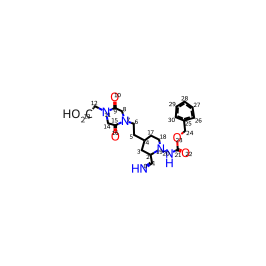 N=CC1CC(CCN2CC(=O)N(CC(=O)O)CC2=O)CCN1NC(=O)OCc1ccccc1